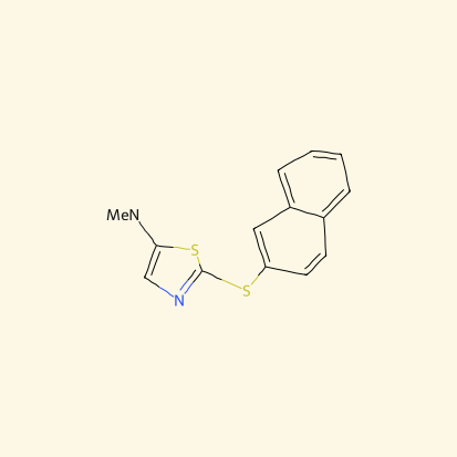 CNc1cnc(Sc2ccc3ccccc3c2)s1